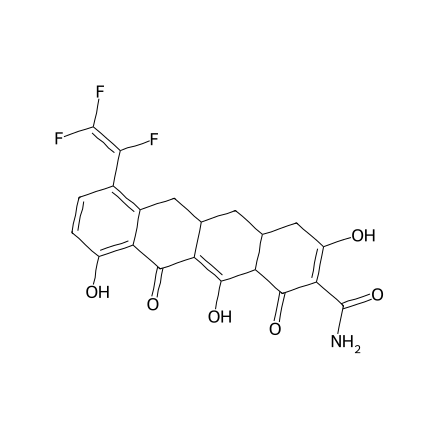 NC(=O)C1=C(O)CC2CC3Cc4c(C(F)=C(F)F)ccc(O)c4C(=O)C3=C(O)C2C1=O